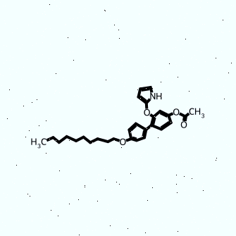 CCCCCCCCCCOc1ccc(-c2ccc(OC(C)=O)cc2Oc2ccc[nH]2)cc1